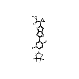 COC(=O)C1(c2cc3sc(-c4cc(F)c(B5OC(C)(C)C(C)(C)O5)cc4F)nc3s2)CC1